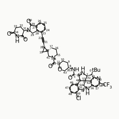 CC(C)(C)C[C@@H]1N[C@@H](C(=O)N[C@@H]2CC[C@@H](C(=O)N3CCC[C@@]4(C[C@H]4C#Cc4cccc5c4CN(C4CCC(=O)NC4=O)C5=O)C3)OC2)[C@H](c2cccc(Cl)c2F)[C@]12CNc1cc(C(F)(F)F)ncc12